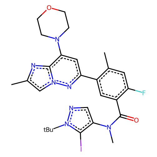 Cc1cn2nc(-c3cc(C(=O)N(C)c4cnn(C(C)(C)C)c4I)c(F)cc3C)cc(N3CCOCC3)c2n1